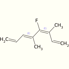 C=C/C=C(C)/C(F)=C(/C)C=C